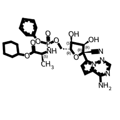 C[C@H](NP(=O)(OC[C@H]1O[C@@](C#N)(c2ccc3c(N)ncnn23)[C@H](O)[C@@H]1O)Oc1ccccc1)C(=O)OC1CCCCC1